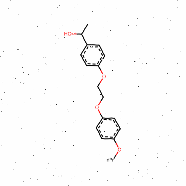 CCCOc1ccc(OCCOc2ccc(C(C)O)cc2)cc1